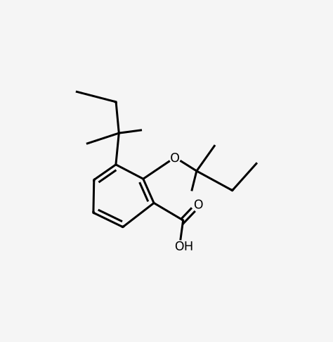 CCC(C)(C)Oc1c(C(=O)O)cccc1C(C)(C)CC